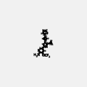 Nc1ncc(-c2cn(C34CC(c5cnco5)(C3)C4)c(C3CC3)n2)cc1OC(F)(F)F